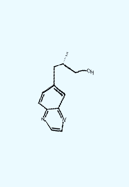 C[C@H](CO)Cc1ccc2nccnc2c1